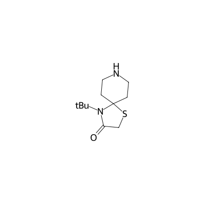 CC(C)(C)N1C(=O)CSC12CCNCC2